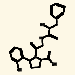 O=C(NCC(=O)N1C(C(=O)O)CCC1c1ccccc1O)C(S)Cc1ccccc1